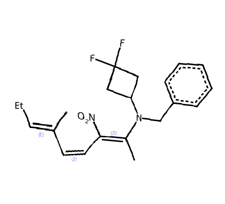 CC/C=C(C)/C=C\C(=C(/C)N(Cc1ccccc1)C1CC(F)(F)C1)[N+](=O)[O-]